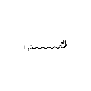 C=CCCCCCCCCn1ccnc1